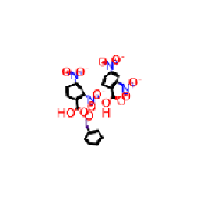 O=C(O)c1ccc([N+](=O)[O-])cc1[N+](=O)[O-].O=C(O)c1ccc([N+](=O)[O-])cc1[N+](=O)[O-].O=Ic1ccccc1